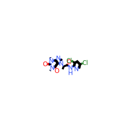 CC(C(=O)Nc1ncc(Cl)cc1Cl)n1cnc2c1c(=O)n(C)c(=O)n2C